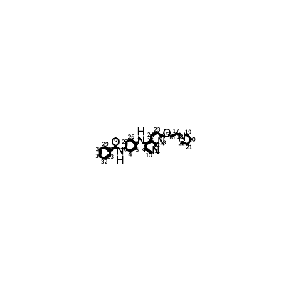 O=C(Nc1ccc(Nc2ccnc3nc(OCCN4CCCC4)ccc23)cc1)c1ccccc1